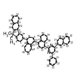 CC1(C)c2ccc(-c3ccc(-c4ccc(-c5nc(-c6ccccc6)cc(-c6ccc7ccccc7c6)n5)c5ccccc45)c4ccccc34)cc2-c2cc3ccccc3cc21